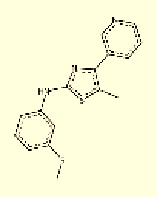 CSc1cccc(Nc2nc(-c3cccnc3)c(C)s2)c1